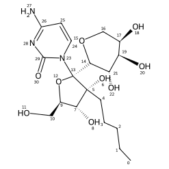 CCCCC[C@@]1(O)[C@H](O)[C@@H](CO)O[C@@]1(C1OC[C@@H](O)[C@@H](O)[C@@H]1O)n1ccc(N)nc1=O